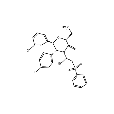 CCC(CS(=O)(=O)c1ccccc1)N1C(=O)[C@H](CC(=O)O)O[C@H](c2cccc(Cl)c2)[C@H]1c1ccc(Cl)cc1